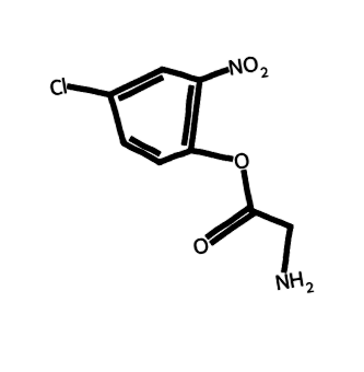 NCC(=O)Oc1ccc(Cl)cc1[N+](=O)[O-]